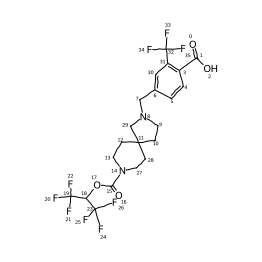 O=C(O)c1ccc(CN2CCC3(CCN(C(=O)OC(C(F)(F)F)C(F)(F)F)CC3)C2)cc1C(F)(F)F